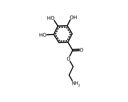 NCCOC(=O)c1cc(O)c(O)c(O)c1